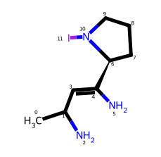 CC(N)/C=C(\N)[C@@H]1CCCN1I